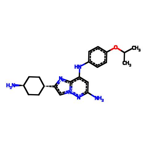 CC(C)Oc1ccc(Nc2cc(N)nn3cc([C@H]4CC[C@H](N)CC4)nc23)cc1